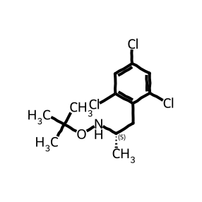 C[C@@H](Cc1c(Cl)cc(Cl)cc1Cl)NOC(C)(C)C